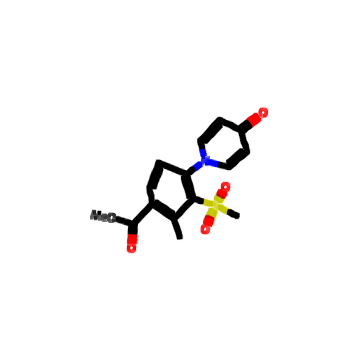 COC(=O)c1ccc(-n2ccc(=O)cc2)c(S(C)(=O)=O)c1C